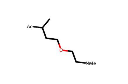 CNCCOCCC(C)C(C)=O